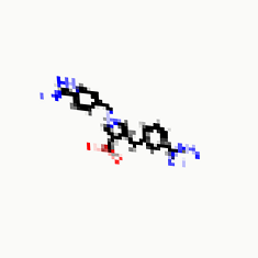 N=C(N)c1ccc(Cn2cc(Cc3cccc(C(=N)N)c3)c(C(=O)O)c2)cc1